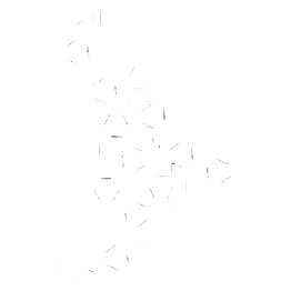 C=Cc1ccc(Oc2ccc(C3(c4cc(F)c(F)c(F)c4)C4=C(CCC=C4)c4ccc(N(c5ccc(-c6ccccc6)cc5)c5ccc6c(c5)C(c5ccc(Oc7ccc(C=C)cc7)cc5)(c5cc(F)c(F)c(F)c5)c5ccccc5-6)cc43)cc2)cc1